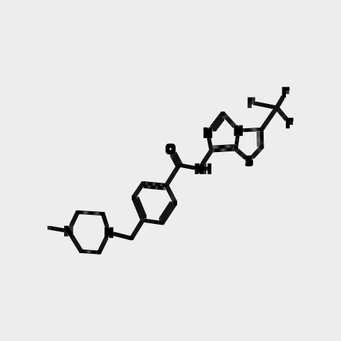 CN1CCN(Cc2ccc(C(=O)Nc3ncn4c(C(F)(F)F)csc34)cc2)CC1